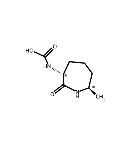 C[C@@H]1CCC[C@@H](NC(=O)O)C(=O)N1